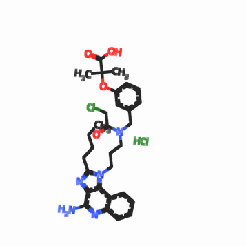 CCCCc1nc2c(N)nc3ccccc3c2n1CCCN(Cc1cccc(OC(C)(C)C(=O)O)c1)C(=O)CCl.Cl